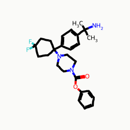 CC(C)(N)c1ccc(C2(N3CCN(C(=O)Oc4ccccc4)CC3)CCC(F)(F)CC2)cc1